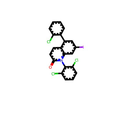 O=c1ccc2c(-c3ccccc3Cl)cc(I)cc2n1-c1c(Cl)cccc1Cl